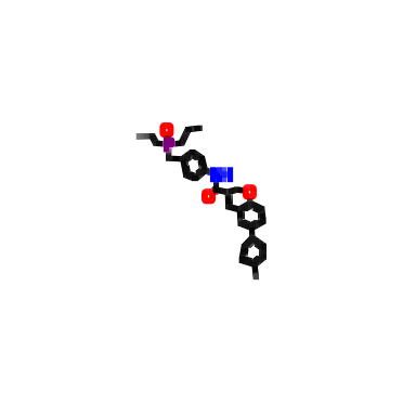 CCCP(=O)(CCC)Cc1ccc(NC(=O)C2=Cc3cc(-c4ccc(C)cc4)ccc3OC2)cc1